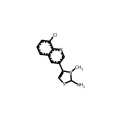 CN1C(c2cnc3c(Cl)cccc3c2)=CSC1N